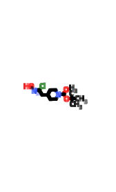 CC(C)(C)OC(=O)N1CCC(C/C(Cl)=N/O)CC1